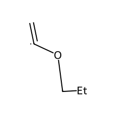 C=[C]OCCC